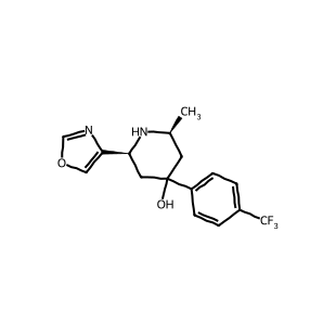 C[C@H]1CC(O)(c2ccc(C(F)(F)F)cc2)C[C@@H](c2cocn2)N1